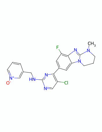 CN1CCCn2c1nc1c(F)cc(-c3nc(NCc4ccc[n+]([O-])c4)ncc3Cl)cc12